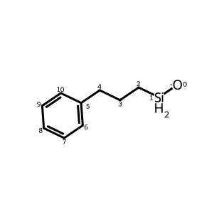 [O][SiH2]CCCc1ccccc1